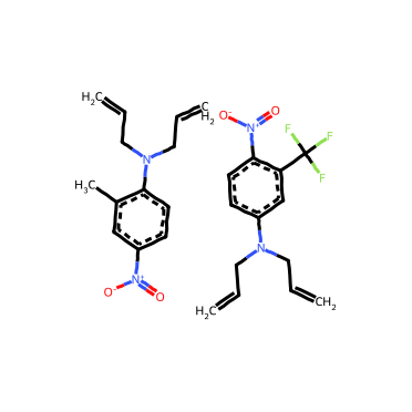 C=CCN(CC=C)c1ccc([N+](=O)[O-])c(C(F)(F)F)c1.C=CCN(CC=C)c1ccc([N+](=O)[O-])cc1C